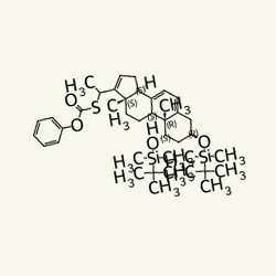 CC(SC(=O)Oc1ccccc1)C1=CC[C@H]2C3=CC=C4C[C@@H](O[Si](C)(C)C(C)(C)C)C[C@H](O[Si](C)(C)C(C)(C)C)[C@]4(C)[C@H]3CC[C@]12C